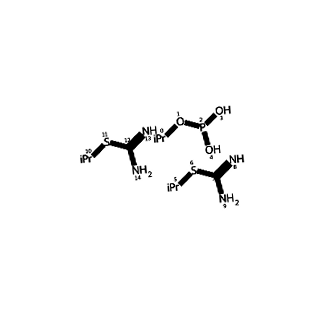 CC(C)OP(O)O.CC(C)SC(=N)N.CC(C)SC(=N)N